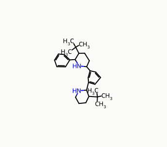 CC(C)(C)C1CCCNC1c1cccc(C2CCC(C(C)(C)C)C(c3ccccc3)N2)c1